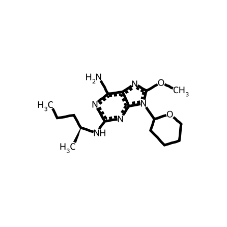 CCC[C@H](C)Nc1nc(N)c2nc(OC)n(C3CCCCO3)c2n1